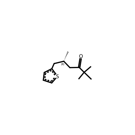 C[C@H](CC(=O)C(C)(C)C)Cc1cccs1